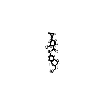 O=C(Nc1ccc2c(c1)OCC(CO)N2)c1ccc(C2CC2)cc1Cl